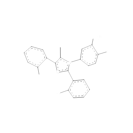 Cc1c(-c2ccccc2O)nc(-c2ccccc2O)n1-c1ccc(F)c(C(=O)O)c1